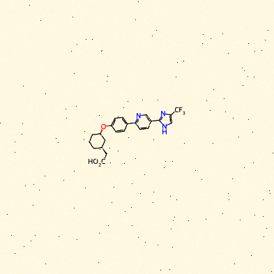 O=C(O)C[C@H]1CCC[C@@H](Oc2ccc(-c3ccc(-c4nc(C(F)(F)F)c[nH]4)cn3)cc2)C1